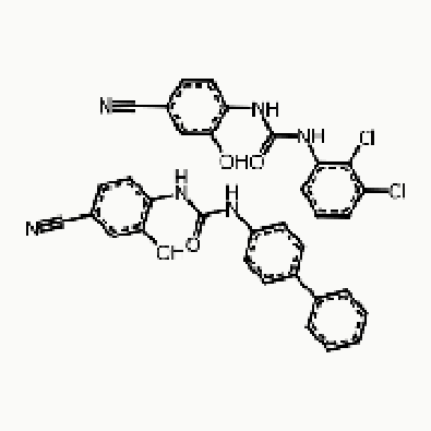 N#Cc1ccc(NC(=O)Nc2ccc(-c3ccccc3)cc2)c(O)c1.N#Cc1ccc(NC(=O)Nc2cccc(Cl)c2Cl)c(O)c1